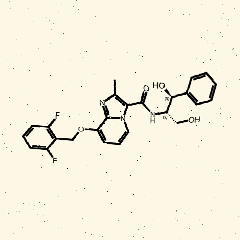 Cc1nc2c(OCc3c(F)cccc3F)cccn2c1C(=O)N[C@@H](CO)[C@@H](O)c1ccccc1